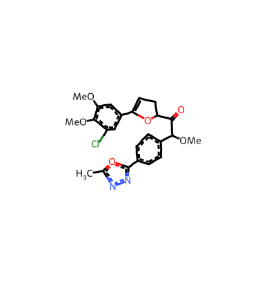 COc1cc(C2=CCC(C(=O)C(OC)c3ccc(-c4nnc(C)o4)cc3)O2)cc(Cl)c1OC